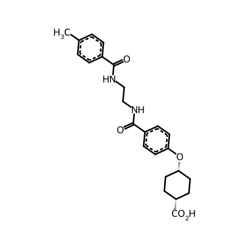 Cc1ccc(C(=O)NCCNC(=O)c2ccc(O[C@H]3CC[C@@H](C(=O)O)CC3)cc2)cc1